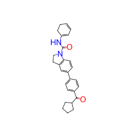 O=C(c1ccc(-c2ccc3c(c2)CCN3C(=O)NC2=CC=CCC2)cc1)C1CCCC1